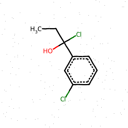 CCC(O)(Cl)c1cccc(Cl)c1